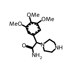 COc1cc(C(C(N)=O)N2CCNCC2)cc(OC)c1OC